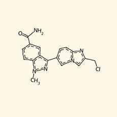 Cn1nc(-c2ccc3nc(CCl)cn3c2)c2cc(C(N)=O)ccc21